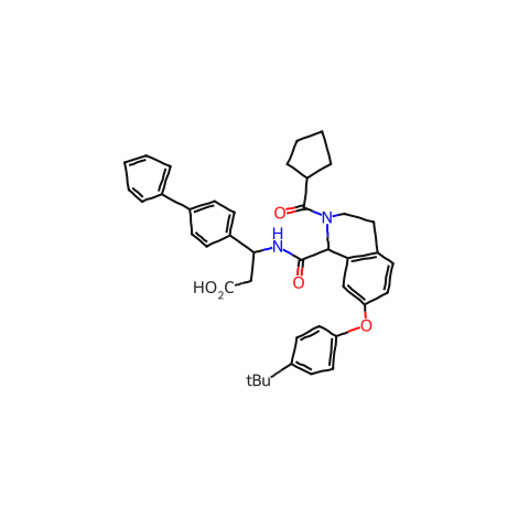 CC(C)(C)c1ccc(Oc2ccc3c(c2)C(C(=O)NC(CC(=O)O)c2ccc(-c4ccccc4)cc2)N(C(=O)C2CCCC2)CC3)cc1